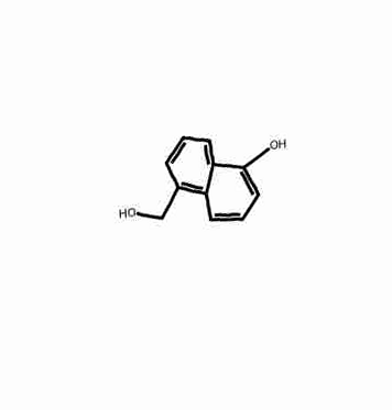 OCc1cccc2c(O)cccc12